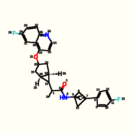 CC(C(=O)NC12CC(c3ccc(F)cc3)(C1)C2)C1[C@H]2CC(Oc3ccnc4ccc(F)cc34)C[C@@H]12